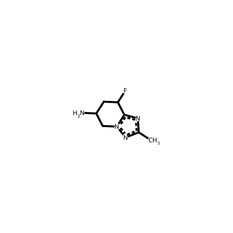 Cc1nc2n(n1)CC(N)CC2F